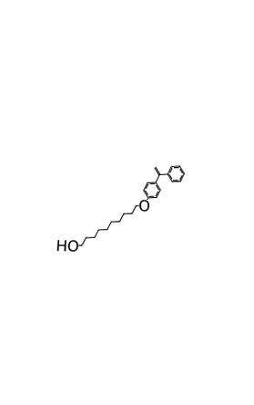 C=C(c1ccccc1)c1ccc(OCCCCCCCCCCO)cc1